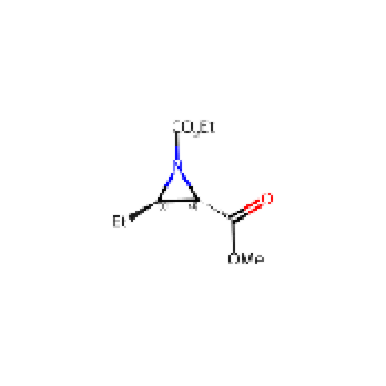 CCOC(=O)N1[C@H](CC)[C@H]1C(=O)OC